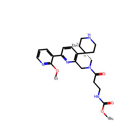 CCOc1ncccc1-c1ccc2c(n1)CN(C(=O)CCNC(=O)OC(C)(C)C)C[C@]21CCNC[C@H]1CC